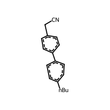 CCCCc1ccc(-c2ccc(CC#N)cc2)cc1